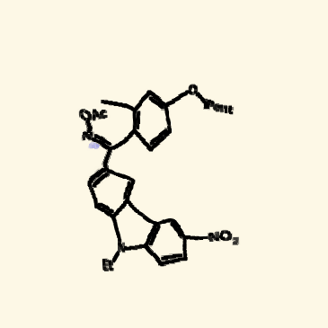 CCCC(C)Oc1ccc(/C(=N\OC(C)=O)c2ccc3c(c2)c2cc([N+](=O)[O-])ccc2n3CC)c(C)c1